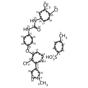 Cc1ccc(S(=O)(=O)O)cc1.Cn1cc(-c2nccc(Oc3ccc(NC(=O)Nc4ccc(Cl)c(C(F)(F)F)c4)cc3)c2Cl)cn1